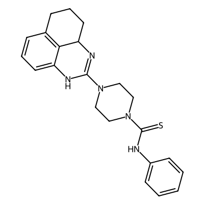 S=C(Nc1ccccc1)N1CCN(C2=NC3CCCc4cccc(c43)N2)CC1